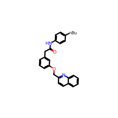 CCCCc1ccc(NC(=O)Cc2cccc(OCc3ccc4ccccc4n3)c2)cc1